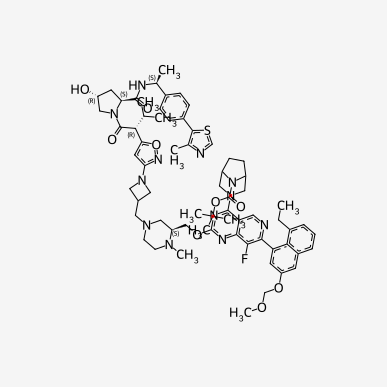 CCc1cccc2cc(OCOC)cc(-c3ncc4c(N5CC6CCC(C5)N6C(=O)OC(C)(C)C)nc(OC[C@@H]5CN(CC6CN(c7cc([C@H](C(=O)N8C[C@H](O)C[C@H]8C(=O)N[C@@H](C)c8ccc(-c9scnc9C)cc8)C(C)C)on7)C6)CCN5C)nc4c3F)c12